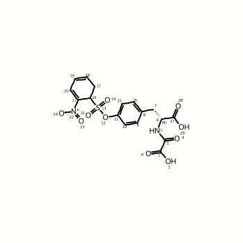 O=C(O)C(=O)N[C@H](Cc1ccc(OS(=O)(=O)C2CC=CC=C2[N+](=O)[O-])cc1)C(=O)O